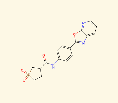 O=C(Nc1ccc(-c2nc3cccnc3o2)cc1)[C@@H]1CCS(=O)(=O)C1